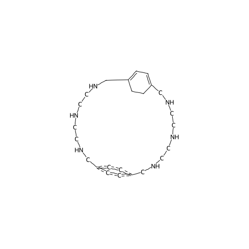 C1=C2CCC(=C1)CNCCNCCNCc1ccc(cc1)CNCCNCCNC2